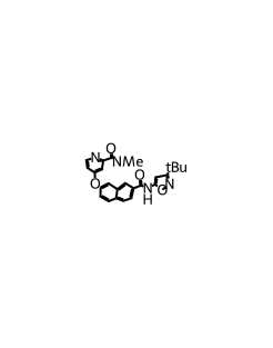 CNC(=O)c1cc(Oc2ccc3ccc(C(=O)Nc4cc(C(C)(C)C)no4)cc3c2)ccn1